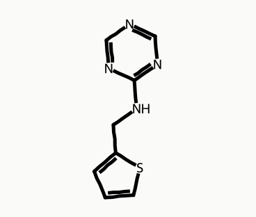 c1csc(CNc2ncncn2)c1